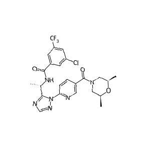 C[C@@H]1CN(C(=O)c2ccc(-n3ncnc3[C@H](C)NC(=O)c3cc(Cl)cc(C(F)(F)F)c3)nc2)C[C@H](C)O1